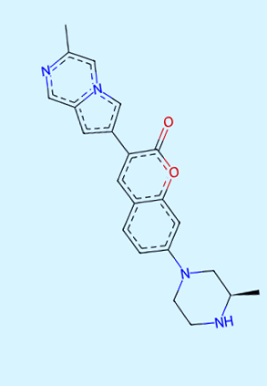 Cc1cn2cc(-c3cc4ccc(N5CCN[C@H](C)C5)cc4oc3=O)cc2cn1